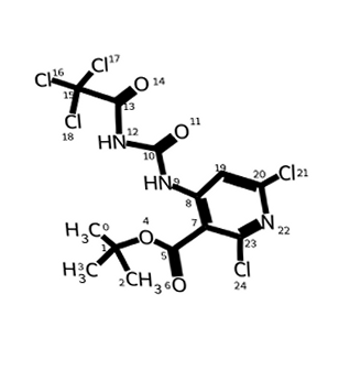 CC(C)(C)OC(=O)c1c(NC(=O)NC(=O)C(Cl)(Cl)Cl)cc(Cl)nc1Cl